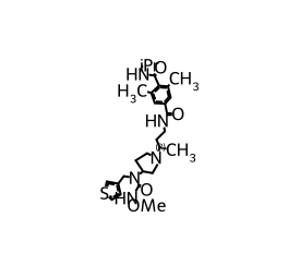 CONC(=O)N(Cc1ccsc1)C1CCN([C@H](C)CCNC(=O)c2cc(C)c(C(=O)NC(C)C)c(C)c2)CC1